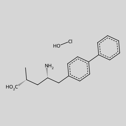 C[C@H](C[C@H](N)Cc1ccc(-c2ccccc2)cc1)C(=O)O.OCl